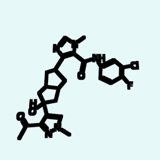 CC(=O)c1nn(C)cc1C1(O)CC2CC(c3ncn(C)c3C(=O)Nc3ccc(F)c(Cl)c3)CC2C1